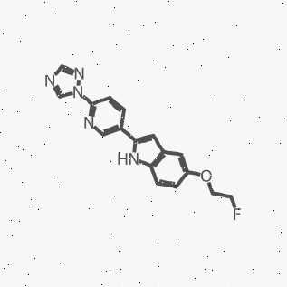 FCCOc1ccc2[nH]c(-c3ccc(-n4cncn4)nc3)cc2c1